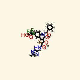 COc1c(C(=O)NCc2cnc(C)cn2)sc2c1c(=O)n(CC(=O)c1ccccc1)c1ccccc21.O=C(O)C(F)(F)F